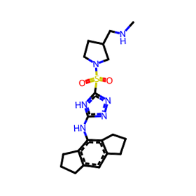 CNCC1CCN(S(=O)(=O)c2nnc(Nc3c4c(cc5c3CCC5)CCC4)[nH]2)C1